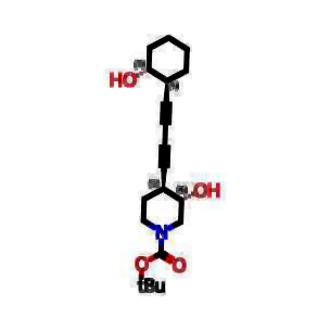 CC(C)(C)OC(=O)N1CC[C@@H](C#CC#C[C@@H]2CCCC[C@H]2O)[C@H](O)C1